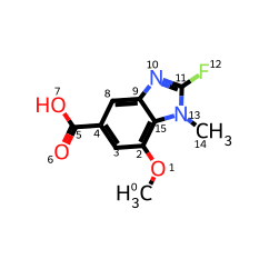 COc1cc(C(=O)O)cc2nc(F)n(C)c12